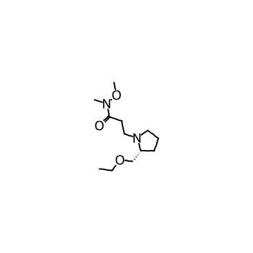 CCOC[C@H]1CCCN1CCC(=O)N(C)OC